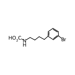 O=C(O)NCCCCc1cccc(Br)c1